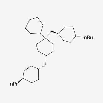 CCCC[C@H]1CC[C@H](C[C@]2(C3CCCCC3)CC[C@H](C[C@H]3CC[C@H](CCC)CC3)CC2)CC1